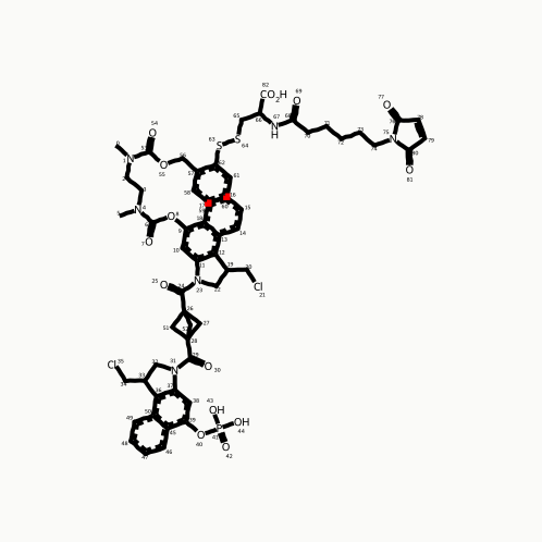 CN(CCN(C)C(=O)Oc1cc2c(c3ccccc13)C(CCl)CN2C(=O)C12CC(C(=O)N3CC(CCl)c4c3cc(OP(=O)(O)O)c3ccccc43)(C1)C2)C(=O)OCc1ccccc1SSCC(NC(=O)CCCCCN1C(=O)C=CC1=O)C(=O)O